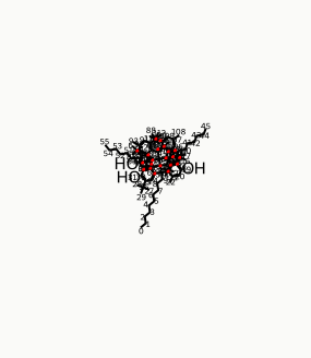 CCCCCCCCCCC(c1cc(C(C)(C)C)c(O)cc1C)(c1cc(C(C)(C)C)c(O)cc1C)C(CCCCCCCCCC)(CCCCCCCCCC)C(c1cc(C(C)(C)C)c(O)cc1C)(c1c(C(C)(C)C)cc(C)cc1C(C)(C)C)C(c1c(C(C)(C)C)cc(C)cc1C(C)(C)C)c1c(C(C)(C)C)cc(C)cc1C(C)(C)C